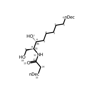 CCCCCCCCCCCCCCC[C@@H](O)[C@H](CO)NC(=O)CCCCCCCCCCC